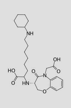 O=C(O)CN1C(=O)[C@@H](NC(CCCCCCNC2CCCCC2)C(=O)O)COc2ccccc21